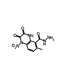 Cc1ccc2c([nH]c(=O)c(=O)n2[N+](=O)[O-])c1C(=O)NN